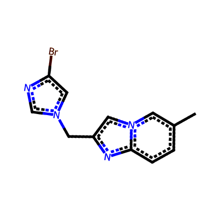 Cc1ccc2nc(Cn3cnc(Br)c3)cn2c1